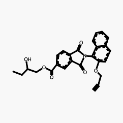 C#CCOc1ccc2ccccc2c1N1C(=O)c2ccc(C(=O)OCC(O)CC)cc2C1=O